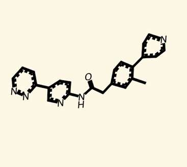 Cc1cc(CC(=O)Nc2ccc(-c3cccnn3)cn2)ccc1-c1ccncc1